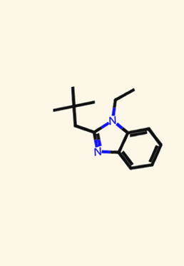 CCn1c(CC(C)(C)C)nc2ccccc21